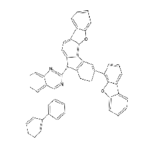 C1=CC(c2cccc(-c3nc(-n4c5c(c6c7oc8ccccc8c7ccc64)C=C(c4cccc6c4oc4ccccc46)CC5)nc4c3=CCCC=4)c2)=CCC1